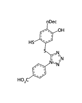 CCCCCCCCCCc1cc(S)c(Sc2nnnn2-c2ccc(C(=O)O)cc2)cc1O